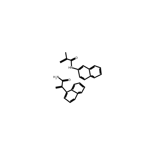 C=C(C(N)=O)c1cccc2ccccc12.C=C(C)C(=O)Nc1ccc2ccccc2c1